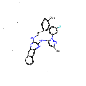 COc1ccc(CCNc2nc3cc4ccccc4cc3nc2Nc2cc(C(C)(C)C)nn2-c2cccc(F)c2)cc1